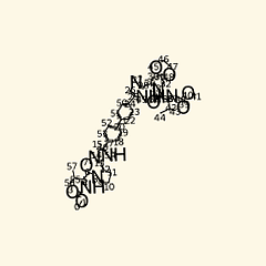 COC(=O)NC(C(=O)N1CCCC1c1ncc(-c2ccc(-c3ccc(-c4cnc(C5CC6(CN5C(=O)C(NC(=O)OC)C(C)C)OCCO6)[nH]4)cc3)cc2)[nH]1)C(C)C